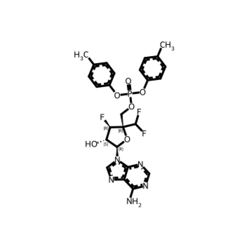 Cc1ccc(OP(=O)(OC[C@@]2(C(F)F)O[C@@H](n3cnc4c(N)ncnc43)[C@H](O)[C@H]2F)Oc2ccc(C)cc2)cc1